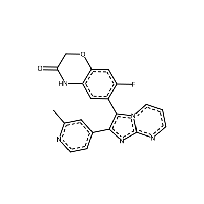 Cc1cc(-c2nc3ncccn3c2-c2cc3c(cc2F)OCC(=O)N3)ccn1